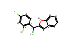 Fc1ccc(C(Cl)c2cc3ccccc3o2)c(F)c1